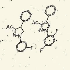 CC(=O)C1=NN(c2cccc(F)c2)CC1c1ccccc1.CC(=O)c1nn(-c2cc(F)ccc2F)cc1-c1ccccc1